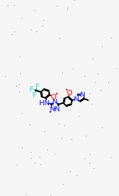 COc1ccc(C(F)(F)F)cc1Nc1nc(-c2ccc(-n3cnc(C)c3)c(OC)c2)nn1C